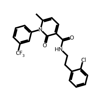 Cc1ccc(C(=O)NCCc2ccccc2Cl)c(=O)n1-c1cccc(C(F)(F)F)c1